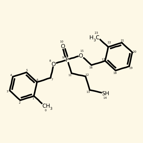 Cc1ccccc1COP(=O)(CCCS)OCc1ccccc1C